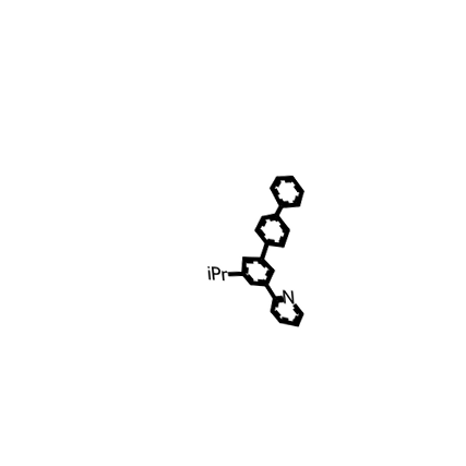 CC(C)c1cc(-c2ccc(-c3ccccc3)cc2)cc(-c2ccccn2)c1